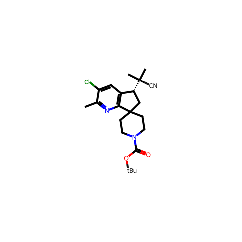 Cc1nc2c(cc1Cl)[C@H](C(C)(C)C#N)CC21CCN(C(=O)OC(C)(C)C)CC1